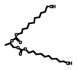 CC(COC(=O)OCCCCCCCCCCO)OC(=O)OCCCCCCCCCCO